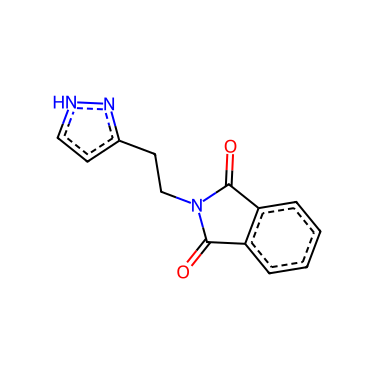 O=C1c2ccccc2C(=O)N1CCc1cc[nH]n1